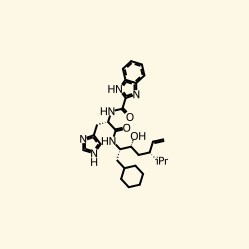 C=C[C@@H](C[C@@H](O)[C@H](CC1CCCCC1)NC(=O)[C@H](Cc1c[nH]cn1)NC(=O)c1nc2ccccc2[nH]1)C(C)C